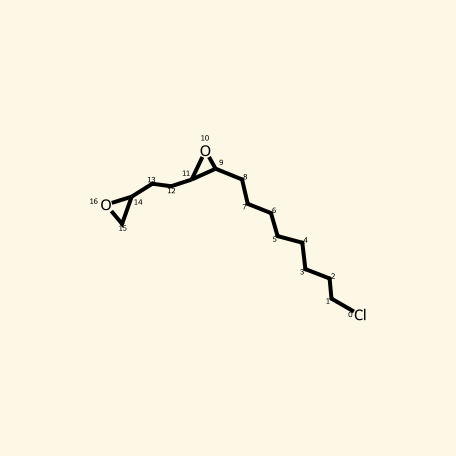 ClCCCCCCCCC1OC1CCC1CO1